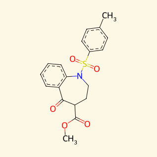 COC(=O)C1CCN(S(=O)(=O)c2ccc(C)cc2)c2ccccc2C1=O